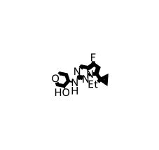 CCC1(c2cc(F)c3cnc(N[C@@H]4CCOC[C@H]4O)nn23)CC1